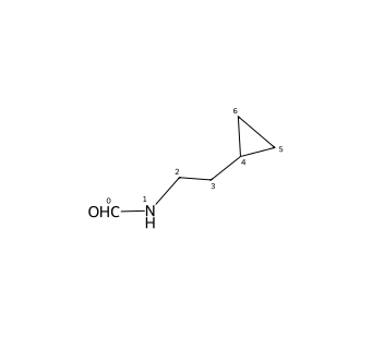 O=CNCCC1CC1